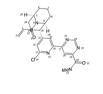 C=CC(=O)N1[C@@H]2CCC[C@H]1[C@H](c1cc(Cl)nc(-c3cc(C(=O)NC)ncn3)c1)OC2